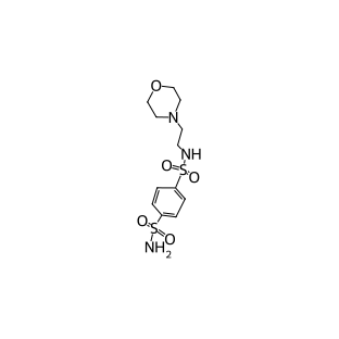 NS(=O)(=O)c1ccc(S(=O)(=O)NCCN2CCOCC2)cc1